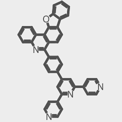 c1ccc2c(c1)nc(-c1ccc(-c3cc(-c4ccncc4)nc(-c4ccncc4)c3)cc1)c1ccc3c4ccccc4oc3c12